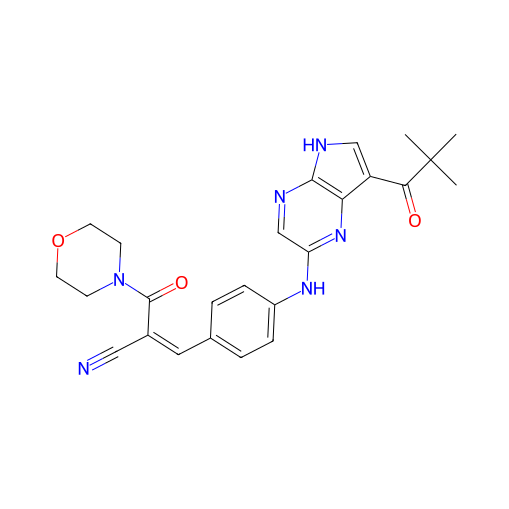 CC(C)(C)C(=O)c1c[nH]c2ncc(Nc3ccc(C=C(C#N)C(=O)N4CCOCC4)cc3)nc12